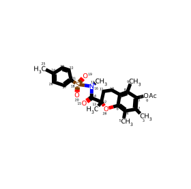 CC(=O)Oc1c(C)c(C)c2c(c1C)CCC(C)(C(=O)N(C)S(=O)(=O)c1ccc(C)cc1)O2